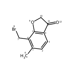 Cc1ccc2c(c1CBr)OCC2=O